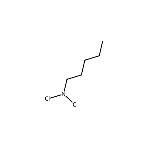 CCCCCN(Cl)Cl